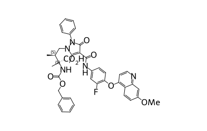 COc1ccc2c(Oc3ccc(NC(=O)c4c(C)n(C[C@H](C)[C@](C)(NC(=O)OCc5ccccc5)C(=O)O)n(-c5ccccc5)c4=O)cc3F)ccnc2c1